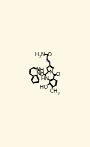 C1=Cc2ccccc2NN=C1.Cc1ccc2c(c1O)NC(O)C1CC(/C=C/C(N)=O)=CN1C2=O